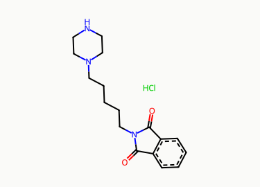 Cl.O=C1c2ccccc2C(=O)N1CCCCCN1CCNCC1